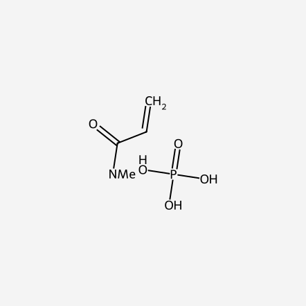 C=CC(=O)NC.O=P(O)(O)O